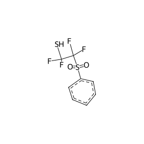 O=S(=O)(c1ccccc1)C(F)(F)C(F)(F)S